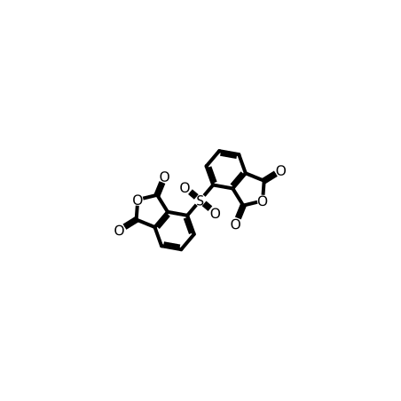 O=C1OC(=O)c2c1cccc2S(=O)(=O)c1cccc2c1C(=O)OC2=O